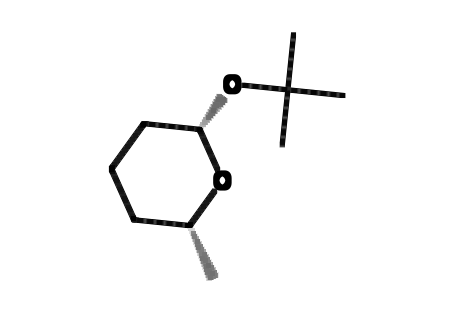 C[C@@H]1CCC[C@H](OC(C)(C)C)O1